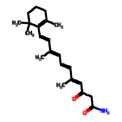 CC1=C(/C=C/C(C)=C/C=C/C(C)=C/C(=O)CC(N)=O)C(C)(C)CCC1